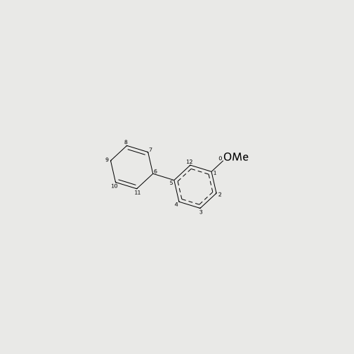 COc1cccc(C2C=CCC=C2)c1